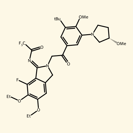 CCOc1cc2c(c(F)c1OCC)/C(=N/C(=O)C(F)(F)F)N(CC(=O)c1cc(N3CC[C@H](OC)C3)c(OC)c(C(C)(C)C)c1)C2